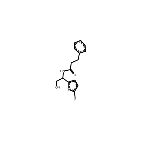 O=C(CCc1ccccc1)NC(CO)c1ccc(F)s1